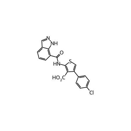 O=C(O)c1c(-c2ccc(Cl)cc2)csc1NC(=O)c1cccc2cn[nH]c12